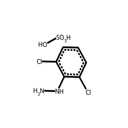 NNc1c(Cl)cccc1Cl.O=S(=O)(O)O